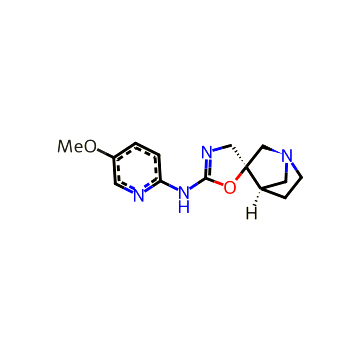 COc1ccc(NC2=NC[C@@]3(C[N@@]4CC[C@@H]3C4)O2)nc1